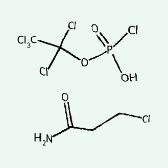 NC(=O)CCCl.O=P(O)(Cl)OC(Cl)(Cl)C(Cl)(Cl)Cl